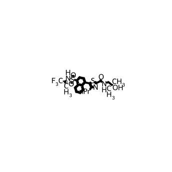 CCCc1nc(C(=O)NCC(C)(C)O)sc1-c1ccc(S(=O)(=O)N[C@@H](C)C(F)(F)F)c2ccccc12